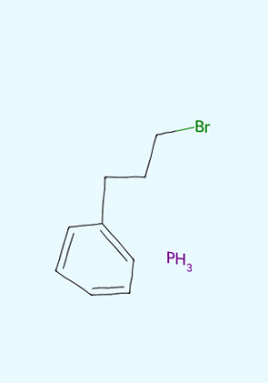 BrCCCc1ccccc1.P